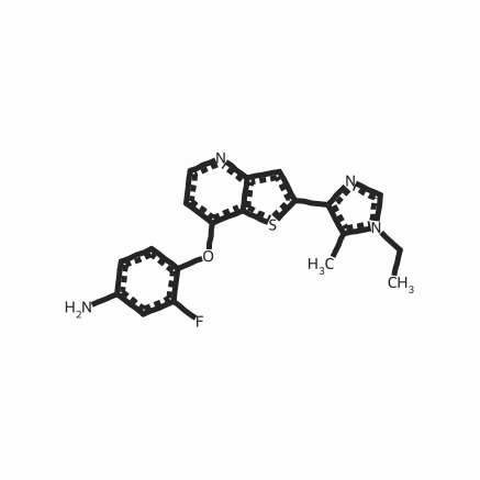 CCn1cnc(-c2cc3nccc(Oc4ccc(N)cc4F)c3s2)c1C